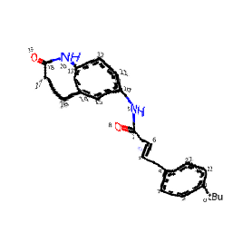 CC(C)(C)c1ccc(/C=C/C(=O)Nc2ccc3c(c2)CCC(=O)N3)cc1